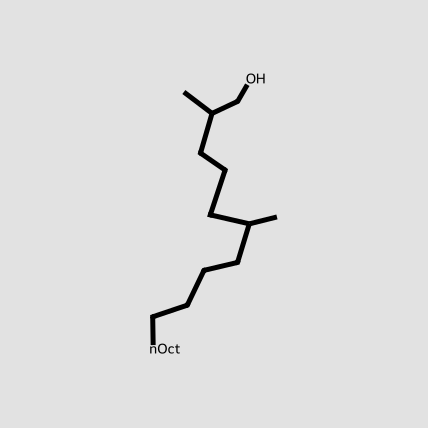 CCCCCCCCCCCCC(C)CCCC(C)CO